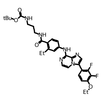 CCOc1ccc(-c2cnc3c(Nc4ccc(C(=O)NCCCNC(=O)OC(C)(C)C)c(CC)c4)nccn23)c(F)c1F